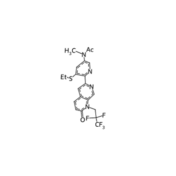 CCSc1cc(N(C)C(C)=O)cnc1-c1cc2ccc(=O)n(CC(F)(F)C(F)(F)F)c2cn1